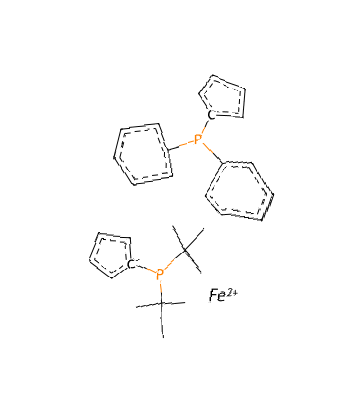 CC(C)(C)P([c-]1cccc1)C(C)(C)C.[Fe+2].c1ccc(P(c2ccccc2)[c-]2cccc2)cc1